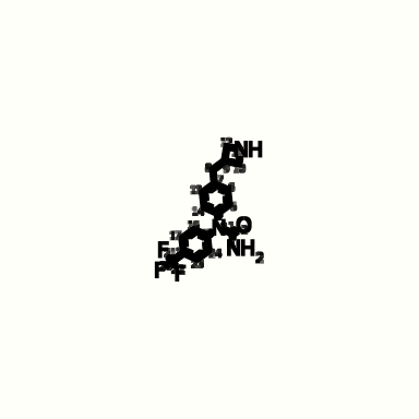 NC(=O)N(c1ccc(CC2CNC2)cc1)c1ccc(C(F)(F)F)cc1